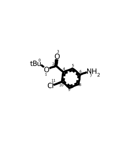 CC(C)(C)OC(=O)c1cc(N)ccc1Cl